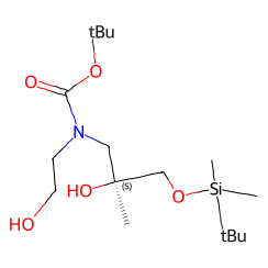 CC(C)(C)OC(=O)N(CCO)C[C@](C)(O)CO[Si](C)(C)C(C)(C)C